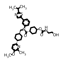 COc1ccc([C@H]2CC[C@H](CN(c3cccc(-c4cnc(C(C)C)s4)c3)C(=O)[C@H]3CC[C@H](OC(=O)NCCO)CC3)CC2)nc1C